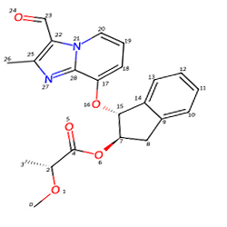 CO[C@H](C)C(=O)O[C@@H]1Cc2ccccc2[C@H]1Oc1cccn2c(C=O)c(C)nc12